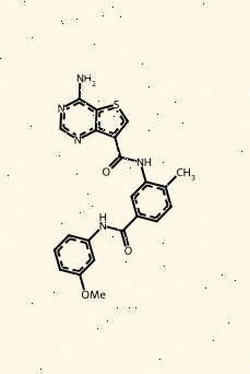 COc1cccc(NC(=O)c2ccc(C)c(NC(=O)c3csc4c(N)ncnc34)c2)c1